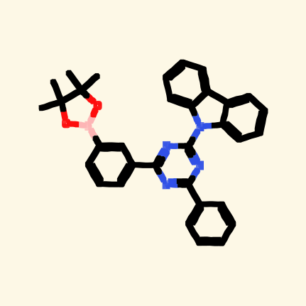 CC1(C)OB(c2cccc(-c3nc(-c4ccccc4)nc(-n4c5ccccc5c5ccccc54)n3)c2)OC1(C)C